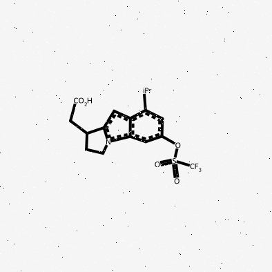 CC(C)c1cc(OS(=O)(=O)C(F)(F)F)cc2c1cc1n2CCC1CC(=O)O